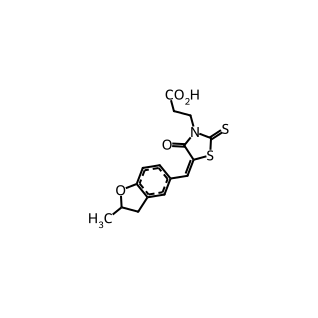 CC1Cc2cc(/C=C3/SC(=S)N(CCC(=O)O)C3=O)ccc2O1